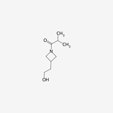 CC(C)C(=O)N1CC(CCO)C1